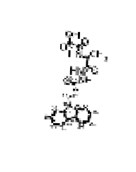 C[C@H](NC(=O)C(=O)O)C(=O)NNC(=O)OCC1c2ccccc2-c2ccccc21